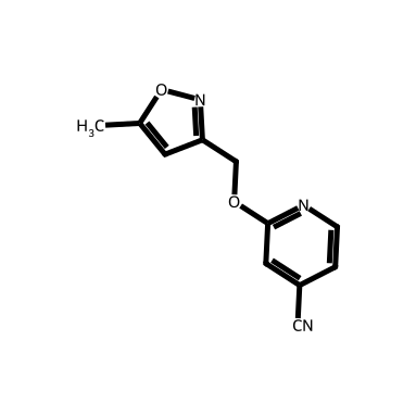 Cc1cc(COc2cc(C#N)ccn2)no1